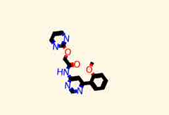 COc1ccccc1-c1cc(NC(=O)COc2ncccn2)ncn1